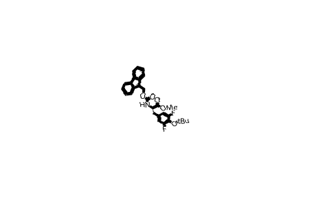 COC(=O)[C@H](Cc1cc(F)c(OC(C)(C)C)c(F)c1)NC(=O)OCC1c2ccccc2-c2ccccc21